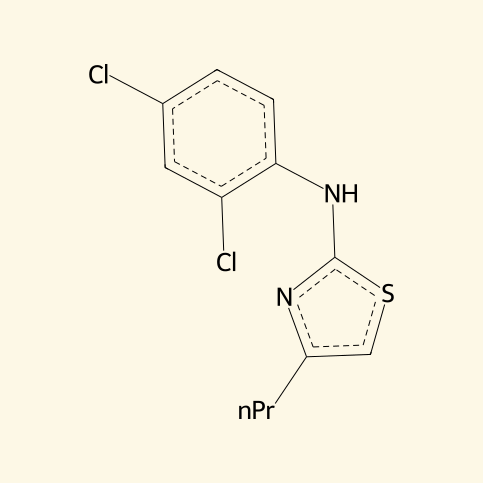 CCCc1csc(Nc2ccc(Cl)cc2Cl)n1